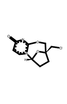 O=c1ccn2c(n1)OC[C@]1(CCl)CC[C@H]2O1